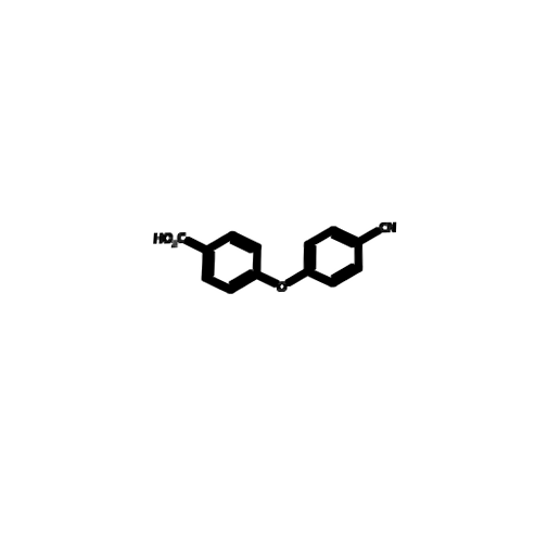 N#Cc1ccc(Oc2ccc(C(=O)O)cc2)cc1